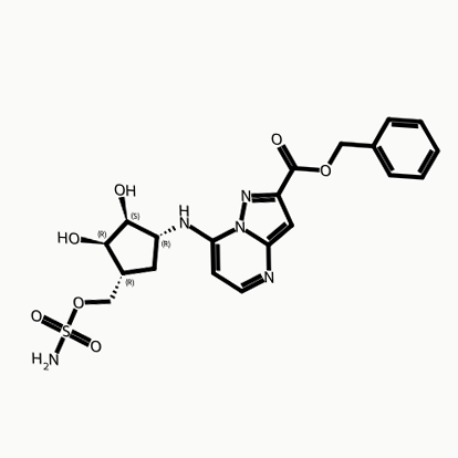 NS(=O)(=O)OC[C@H]1C[C@@H](Nc2ccnc3cc(C(=O)OCc4ccccc4)nn23)[C@H](O)[C@@H]1O